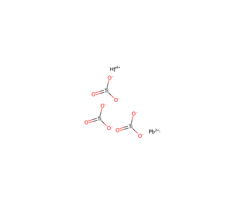 [Hf+4].[O]=[Ti]([O-])[O-].[O]=[Ti]([O-])[O-].[O]=[Ti]([O-])[O-].[Pb+2]